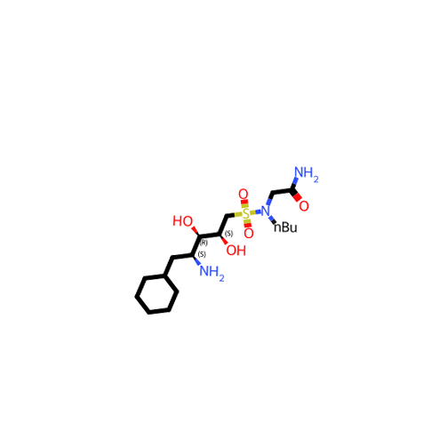 CCCCN(CC(N)=O)S(=O)(=O)C[C@@H](O)[C@H](O)[C@@H](N)CC1CCCCC1